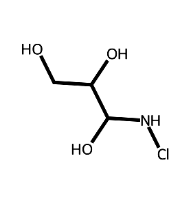 OCC(O)C(O)NCl